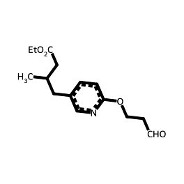 CCOC(=O)CC(C)Cc1ccc(OCCC=O)nc1